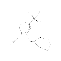 N#Cc1ccc(C(F)(F)F)cc1N[C@@H]1CCCOC1